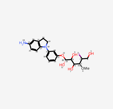 CO[C@H](C(I)CO)C(O)C(O)[C@H](O)Oc1cccc(N2CCc3cc(N)ccc32)c1